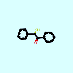 O=C(c1ccccc1)C(S)c1ccccc1